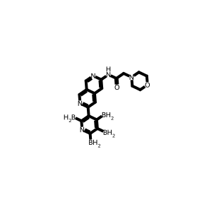 Bc1nc(B)c(-c2cc3cc(NC(=O)CN4CCOCC4)ncc3cn2)c(B)c1B